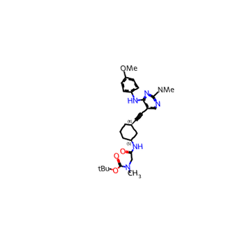 CNc1ncc(C#C[C@@H]2CCC[C@H](NC(=O)CN(C)C(=O)OC(C)(C)C)C2)c(Nc2ccc(OC)cc2)n1